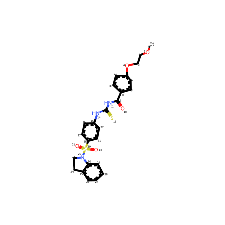 CCOCCOc1ccc(C(=O)NC(=S)Nc2ccc(S(=O)(=O)N3CCc4ccccc43)cc2)cc1